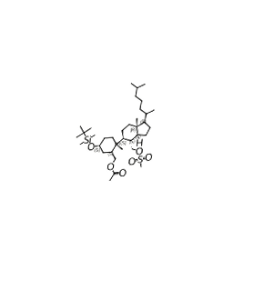 CC(=O)OC[C@H]1C[C@@H](O[Si](C)(C)C(C)(C)C)CC[C@]1(C)[C@H]1CC[C@]2(C)[C@@H](C(C)CCCC(C)C)CC[C@H]2[C@@H]1COS(C)(=O)=O